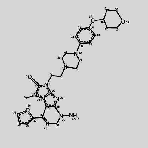 Cn1c(=O)n(CCN2CCN(c3ccc(OC4CCOCC4)cc3)CC2)c2nc3c(n21)C(c1ccco1)=NCN3N